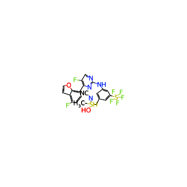 C[SH](O)(Cc1cc(Nc2ncc(F)c(-c3ccc(F)c4ccoc34)n2)cc(S(F)(F)(F)(F)F)c1)=NC#N